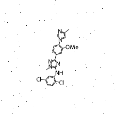 COc1cc(-c2nc(Nc3cc(Cl)ccc3Cl)n(C)n2)ccc1-n1cnc(C)c1